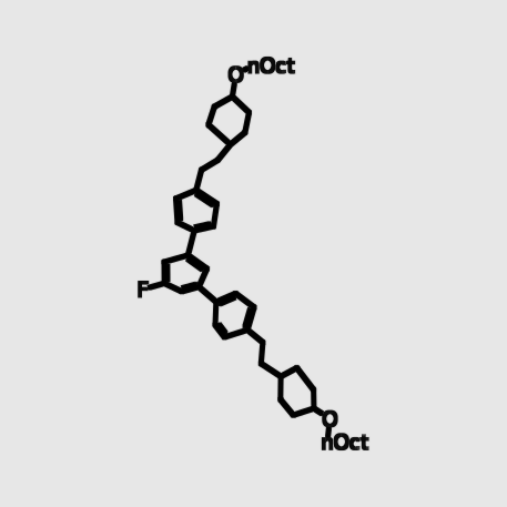 CCCCCCCCOC1CCC(CCc2ccc(-c3cc(F)cc(-c4ccc(CCC5CCC(OCCCCCCCC)CC5)cc4)c3)cc2)CC1